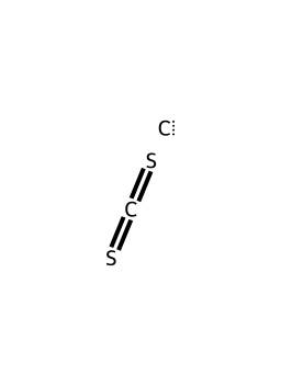 S=C=S.[C]